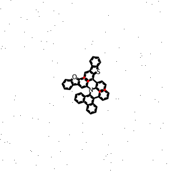 c1ccc(-c2c(N(c3ccc4oc5ccccc5c4c3)c3ccccc3-c3cccc4c3sc3ccccc34)c3ccccc3c3ccccc23)cc1